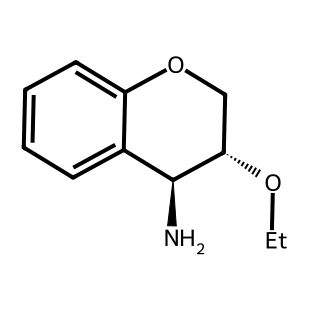 CCO[C@H]1COc2ccccc2[C@@H]1N